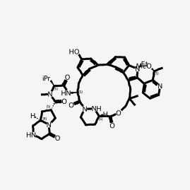 CCn1c(-c2cccnc2[C@H](C)OC)c2c3cc(ccc31)-c1cc(O)cc(c1)C[C@H](NC(=O)[C@H](C(C)C)N(C)C(=O)[C@H]1C[C@@H]3CNCC(=O)N3C1)C(=O)N1CCC[C@H](N1)C(=O)OCC(C)(C)C2